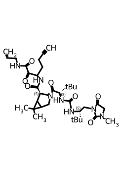 C#CCCC(NC(=O)[C@@H]1C2C(CN1C(=O)[C@@H](NC(=O)N[C@H](CN1C(=O)CN(C)C1=O)C(C)(C)C)C(C)(C)C)C2(C)C)C(=O)C(=O)NCC=C